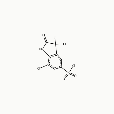 O=C1Nc2c(Cl)cc(S(=O)(=O)Cl)cc2C1(Cl)Cl